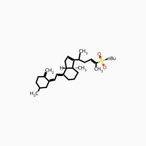 C=C1CCC(C)C/C1=C/C=C1\CCC[C@]2(C)C(C(C)C/C=C(\C)S(=O)(=O)CCCC)=CC[C@@H]12